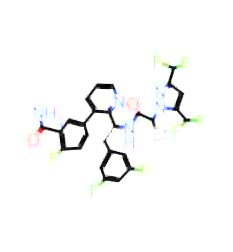 CCC(C(=O)N[C@@H](Cc1cc(F)cc(F)c1)c1ncccc1-c1ccc(F)c(C(N)=O)c1)n1nc(C(F)F)cc1C(F)F